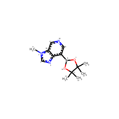 Cn1cnc2c(B3OC(C)(C)C(C)(C)O3)cncc21